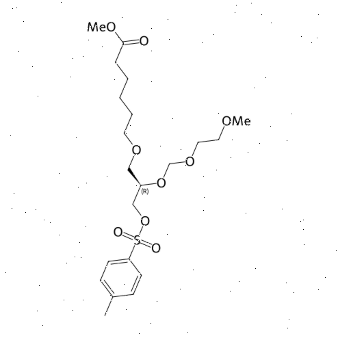 COCCOCO[C@H](COCCCCCC(=O)OC)COS(=O)(=O)c1ccc(C)cc1